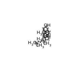 CN(C)CCCN(C)C1CC[C@H]2[C@@H]3CCC4CC(O)C=C[C@]4(C)[C@@H]3CC[C@]12C